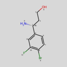 N[C@H](CCO)c1ccc(Br)c(F)c1